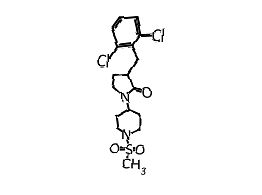 CS(=O)(=O)N1CCC(N2CCC(Cc3c(Cl)cccc3Cl)C2=O)CC1